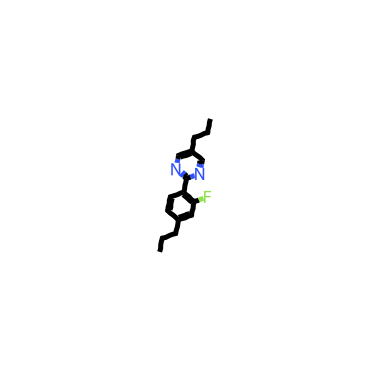 CCCc1cnc(-c2ccc(CCC)cc2F)nc1